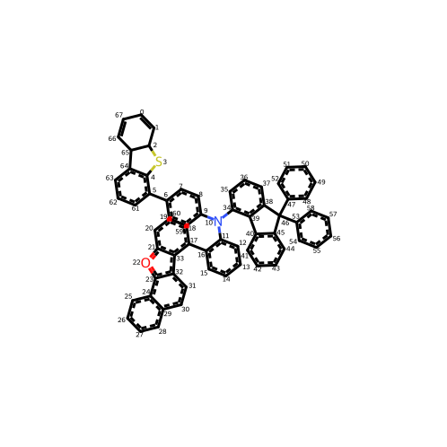 C1=CC2Sc3c(-c4ccc(N(c5ccccc5-c5cccc6oc7c8ccccc8ccc7c56)c5cccc6c5-c5ccccc5C6(c5ccccc5)c5ccccc5)cc4)cccc3C2C=C1